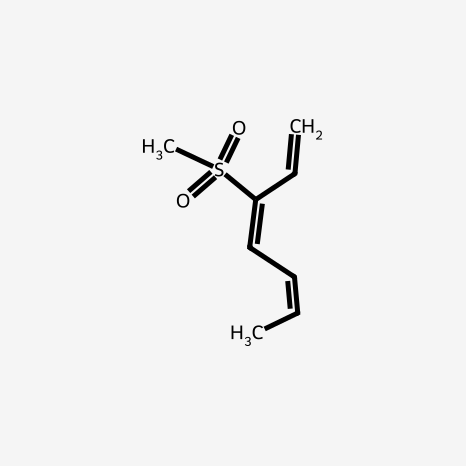 C=C/C(=C\C=C/C)S(C)(=O)=O